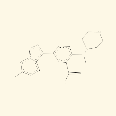 NC(=O)c1cc(-c2c[nH]c3cc(F)ccc23)ccc1[S+]([O-])N1CCNCC1